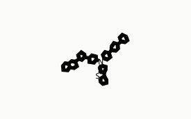 c1ccc(-c2ccc(-c3ccc(N(c4ccc(-c5cccc(-c6ccc7ccccc7c6)c5)cc4)c4ccc5c(c4)sc4ccccc45)cc3)cc2)cc1